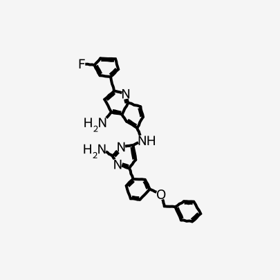 Nc1nc(Nc2ccc3nc(-c4cccc(F)c4)cc(N)c3c2)cc(-c2cccc(OCc3ccccc3)c2)n1